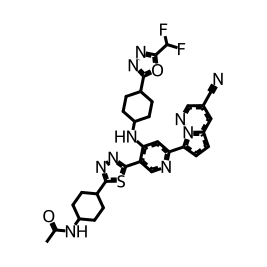 CC(=O)NC1CCC(c2nnc(-c3cnc(-c4ccc5cc(C#N)cnn45)cc3NC3CCC(c4nnc(C(F)F)o4)CC3)s2)CC1